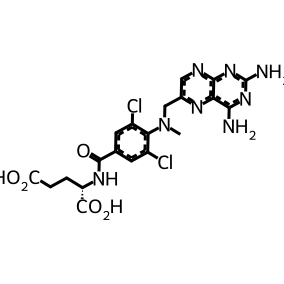 CN(Cc1cnc2nc(N)nc(N)c2n1)c1c(Cl)cc(C(=O)N[C@@H](CCC(=O)O)C(=O)O)cc1Cl